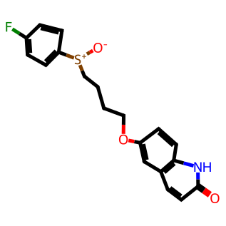 O=c1ccc2cc(OCCCC[S+]([O-])c3ccc(F)cc3)ccc2[nH]1